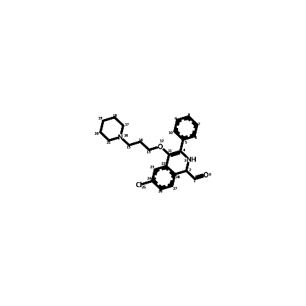 O=CC1NC(c2ccccc2)=C(OCCCN2CCCCC2)c2cc(Cl)ccc21